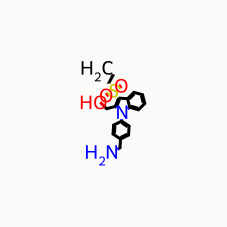 C=CCS(=O)(=O)c1c(CO)n(-c2ccc(CN)cc2)c2ccccc12